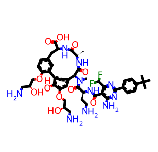 C[C@@H]1NC(=O)C(N(C)C(=O)[C@H](CCN)NC(=O)c2c(N)nc(-c3ccc(C(C)(C)C)cc3)nc2C(F)F)c2cc(OC[C@H](O)CN)c(O)c(c2)-c2cc(ccc2OC[C@H](O)CN)CC(C(=O)O)NC1=O